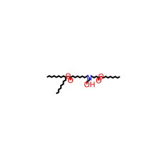 CCCCCCCCOC(=O)CCCN(CCO)CCCCCCCC(=O)OC(CCCCCCCC)CCCCCCCC